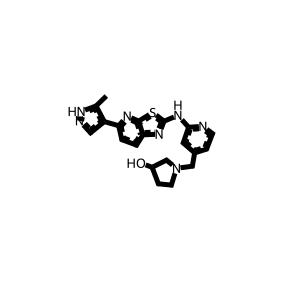 Cc1[nH]ncc1-c1ccc2nc(Nc3cc(CN4CCC(O)C4)ccn3)sc2n1